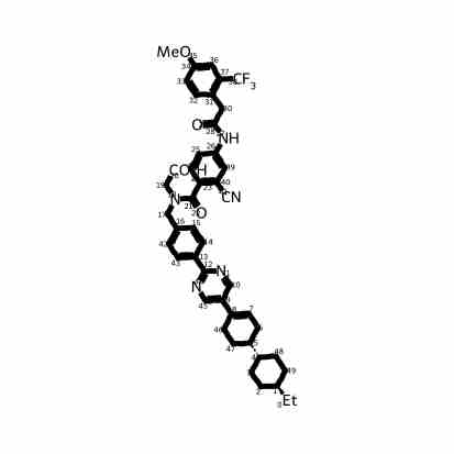 CC[C@H]1CC[C@H](C2CC=C(c3cnc(-c4ccc(CN(CC(=O)O)C(=O)c5ccc(NC(=O)Cc6ccc(OC)cc6C(F)(F)F)cc5C#N)cc4)nc3)CC2)CC1